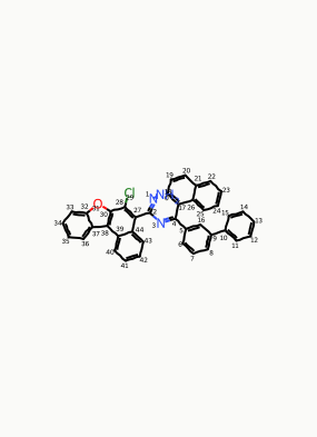 N/N=C(\N=C(\c1cccc(-c2ccccc2)c1)c1cccc2ccccc12)c1c(Cl)c2oc3ccccc3c2c2ccccc12